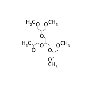 COCC(COC)OCC(COC(COC)COC)OCC(C)=O